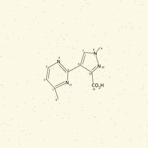 Cc1ccnc(-c2cn(C)nc2C(=O)O)n1